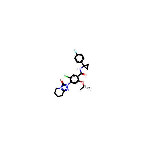 C[C@H](Oc1cc(-n2nc3n(c2=O)CCCC3)c(Cl)cc1C(=O)NC1(c2ccc(F)cc2)CC1)C(F)(F)F